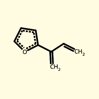 C=CC(=C)c1ccco1